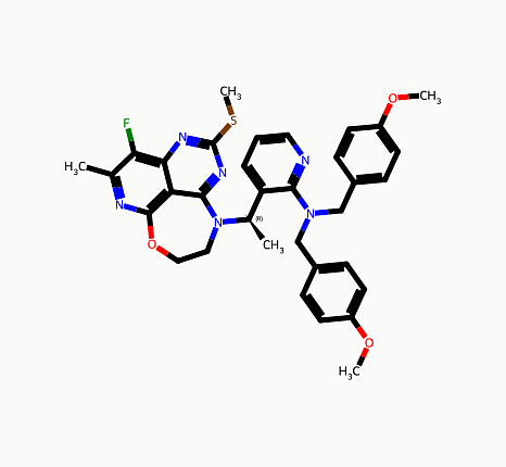 COc1ccc(CN(Cc2ccc(OC)cc2)c2ncccc2[C@@H](C)N2CCOc3nc(C)c(F)c4nc(SC)nc2c34)cc1